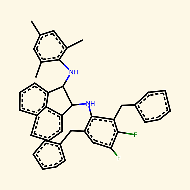 Cc1cc(C)c(NC2c3cccc4cccc(c34)C2Nc2c(Cc3ccccc3)cc(F)c(F)c2Cc2ccccc2)c(C)c1